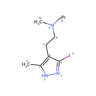 Cc1[nH]nc(I)c1CCN(C)C(C)C